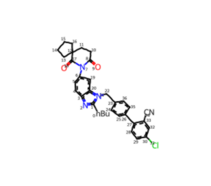 CCCCc1nc2ccc(N3C(=O)CCC4(CCCC4)C3=O)cc2n1Cc1ccc(-c2ccc(Cl)cc2C#N)cc1